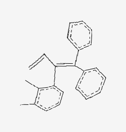 C=CC(=C(c1ccccc1)c1ccccc1)c1cccc(C)c1C